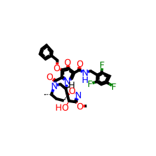 COC1=NO[C@@]2(CC[C@H](C)N3C[C@H]2n2cc(C(=O)NCc4c(F)cc(F)cc4F)c(=O)c(OCc4ccccc4)c2C3=O)[C@H]1O